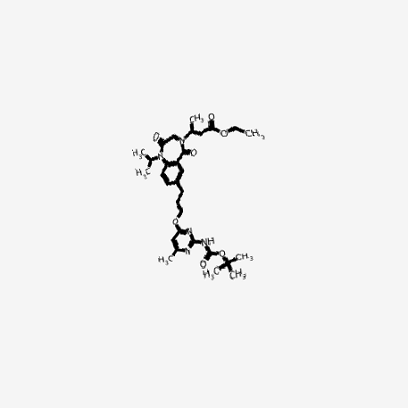 CCOC(=O)CC(C)N1CC(=O)N(C(C)C)c2ccc(CCCOc3cc(C)nc(NC(=O)OC(C)(C)C)n3)cc2C1=O